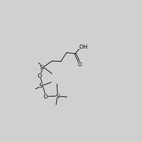 C[Si](C)(C)O[Si](C)(C)O[Si](C)(C)CCCC(=O)O